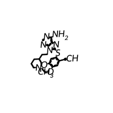 C#Cc1cc2c(cc1Sc1nc3c(N)ncnc3n1CCC1CCCN(C)C1)OCCO2